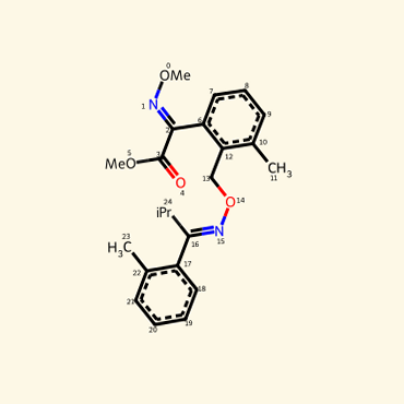 CO/N=C(/C(=O)OC)c1cccc(C)c1CO/N=C(/c1ccccc1C)C(C)C